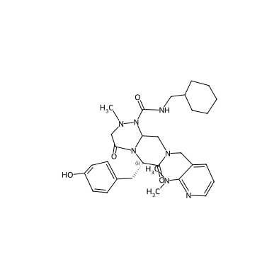 CN(C)c1ncccc1CN1CC2N(C(=O)CN(C)N2C(=O)NCC2CCCCC2)[C@@H](Cc2ccc(O)cc2)C1=O